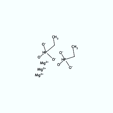 CC[PH]([O-])([O-])[O-].CC[PH]([O-])([O-])[O-].[Mg+2].[Mg+2].[Mg+2]